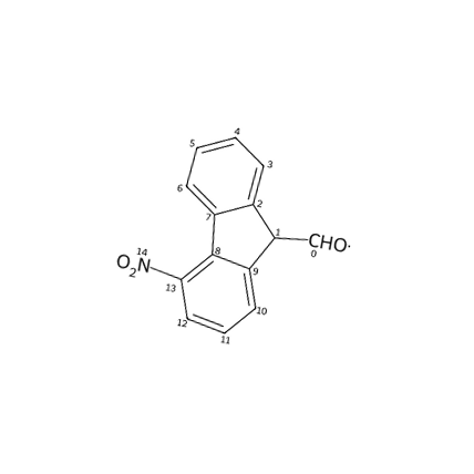 O=[C]C1c2ccccc2-c2c1cccc2[N+](=O)[O-]